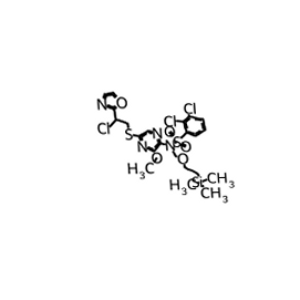 COc1nc(SCC(Cl)c2ncco2)cnc1N(COCC[Si](C)(C)C)S(=O)(=O)c1cccc(Cl)c1Cl